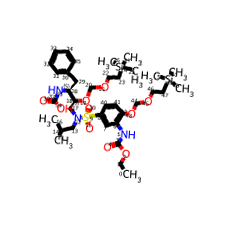 CCOC(=O)Nc1cc(S(=O)(=O)N(CC(C)C)C[C@H](OCOCC[Si](C)(C)C)[C@H](Cc2ccccc2)NC(=O)O)ccc1OCOCC[Si](C)(C)C